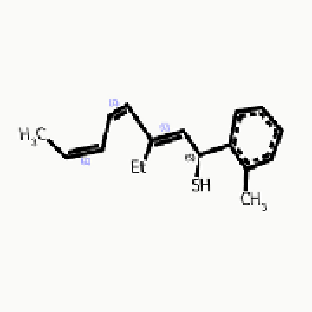 C\C=C/C=C\C(=C\[C@H](S)c1ccccc1C)CC